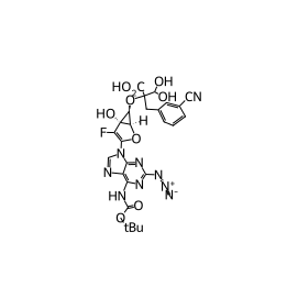 CC(C)(C)OC(=O)Nc1nc(N=[N+]=[N-])nc2c1ncn2C1=C(F)[C@]2(O)[C@H](O1)[C@@H]2OC(Cc1cccc(C#N)c1)(C(=O)O)C(O)O